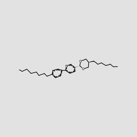 CCCCCCCCc1ccc(-c2ccc([C@H]3OC[C@H](CCCCCCC)CO3)cn2)cc1